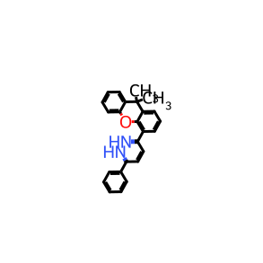 CC1(C)c2ccccc2Oc2c(C(=N)/C=C\C(=N)c3ccccc3)cccc21